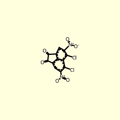 O=C1C(=O)c2cc([N+](=O)[O-])c(Cl)c3c(Cl)c([N+](=O)[O-])cc1c23